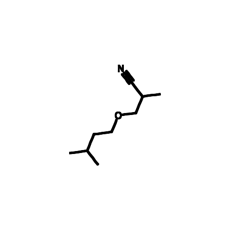 CC(C)CCOCC(C)C#N